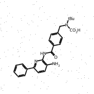 CC(C)(C)N(Cc1ccc(C(=O)Nc2nc(-c3ccccc3)ccc2N)cc1)C(=O)O